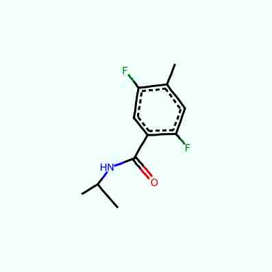 Cc1cc(F)c(C(=O)NC(C)C)cc1F